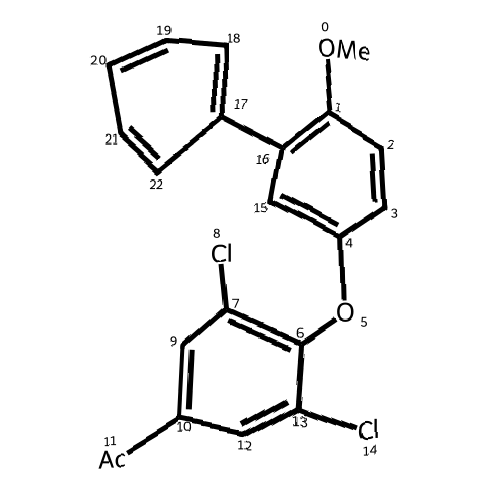 COc1ccc(Oc2c(Cl)cc(C(C)=O)cc2Cl)cc1-c1ccccc1